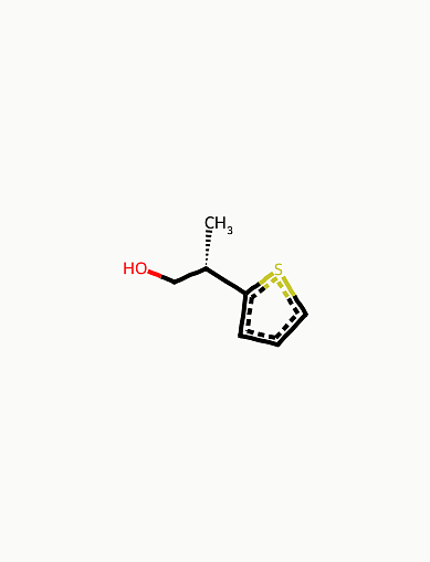 C[C@@H](CO)c1cccs1